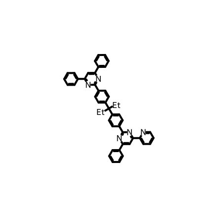 CCC(CC)(c1ccc(-c2nc(-c3ccccc3)cc(-c3ccccc3)n2)cc1)c1ccc(-c2nc(-c3ccccc3)cc(-c3ccccn3)n2)cc1